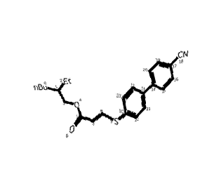 CCCCC(CC)COC(=O)CCSc1ccc(-c2ccc(C#N)cc2)cc1